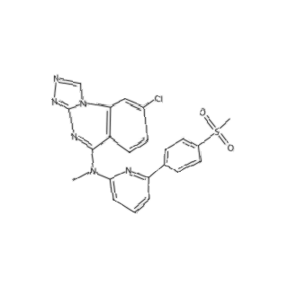 CN(c1cccc(-c2ccc(S(C)(=O)=O)cc2)n1)c1nc2nncn2c2cc(Cl)ccc12